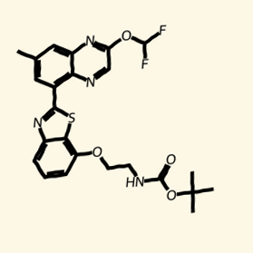 Cc1cc(-c2nc3cccc(OCCNC(=O)OC(C)(C)C)c3s2)c2ncc(OC(F)F)nc2c1